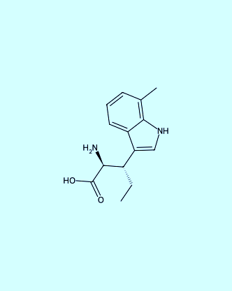 CC[C@@H](c1c[nH]c2c(C)cccc12)[C@H](N)C(=O)O